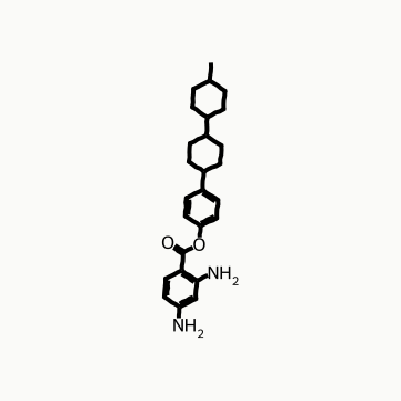 CC1CCC(C2CCC(c3ccc(OC(=O)c4ccc(N)cc4N)cc3)CC2)CC1